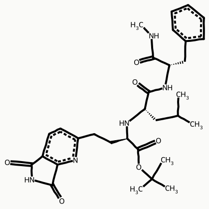 CNC(=O)[C@H](Cc1ccccc1)NC(=O)[C@H](CC(C)C)N[C@H](CCc1ccc2c(n1)C(=O)NC2=O)C(=O)OC(C)(C)C